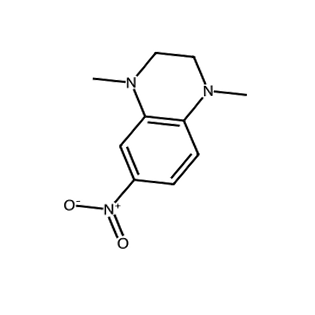 CN1CCN(C)c2cc([N+](=O)[O-])ccc21